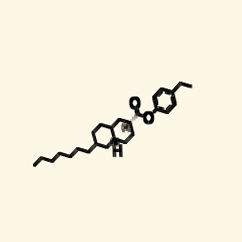 CCCCCCCC1CCC2C[C@H](C(=O)Oc3ccc(CC)cc3)CC[C@@H]2C1